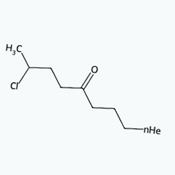 CCCCCCCCCC(=O)CCC(C)Cl